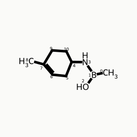 CB(O)NC1CC=C(C)CC1